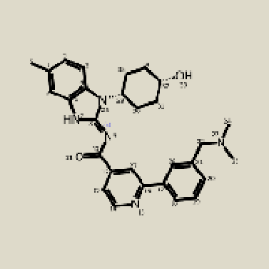 Cc1ccc2c(c1)[nH]/c(=N\C(=O)c1ccnc(-c3cccc(CN(C)C)c3)c1)n2[C@H]1CC[C@@H](O)CC1